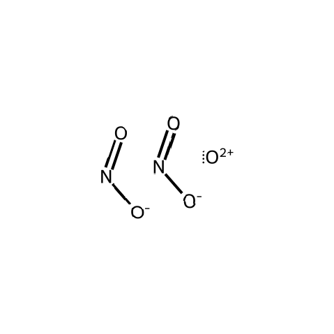 O=N[O-].O=N[O-].[O+2]